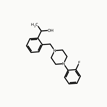 CC(O)c1ccccc1CN1CCN(c2ccccc2F)CC1